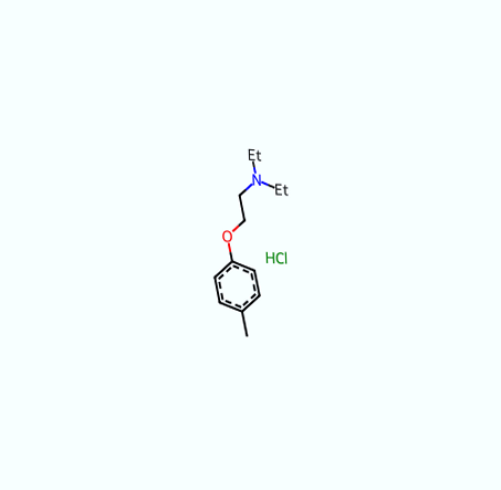 CCN(CC)CCOc1ccc(C)cc1.Cl